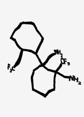 NC1(C2CCCCC2C(F)(F)F)CCCCC1(N)C(F)(F)F